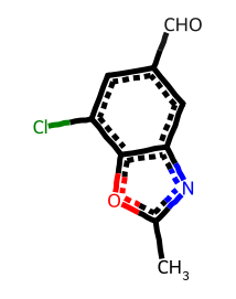 Cc1nc2cc(C=O)cc(Cl)c2o1